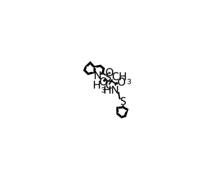 CC(C)(C(=O)NCCSc1ccccc1)S(=O)(=O)c1ccc2ccccc2n1